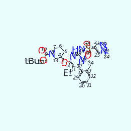 CCc1c(OC2CCCN(C(=O)OC(C)(C)C)C2)nc(NS(=O)(=O)c2cnn(C)c2)nc1-c1ccccc1C